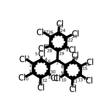 Clc1c(Cl)c(Cl)c([C](c2c(Cl)c(Cl)c(Cl)c(Cl)c2Cl)c2c(Cl)c(Cl)c(Cl)c(Cl)c2Cl)c(Cl)c1Cl